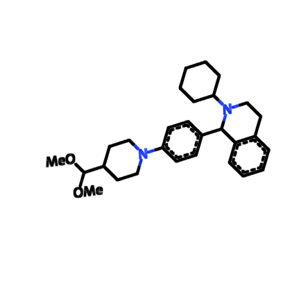 COC(OC)C1CCN(c2ccc(C3c4ccccc4CCN3C3CCCCC3)cc2)CC1